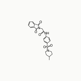 CC1CCN(S(=O)(=O)c2ccc(NC(=O)CN3C(=O)c4ccccc4C3=O)cc2)CC1